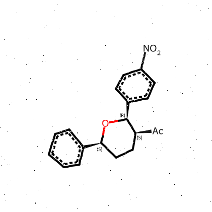 CC(=O)[C@H]1CC[C@@H](c2ccccc2)O[C@H]1c1ccc([N+](=O)[O-])cc1